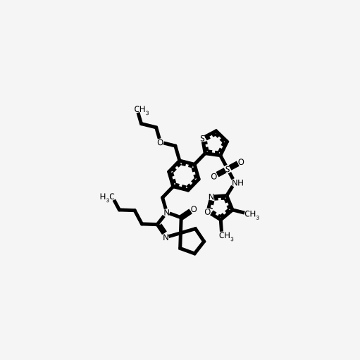 CCCCC1=NC2(CCCC2)C(=O)N1Cc1ccc(-c2sccc2S(=O)(=O)Nc2noc(C)c2C)c(COCCC)c1